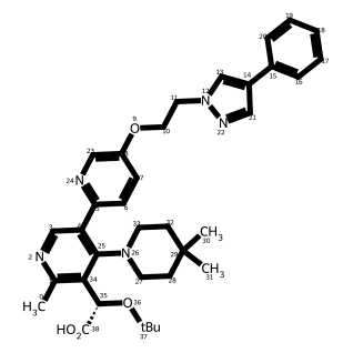 Cc1ncc(-c2ccc(OCCn3cc(-c4ccccc4)cn3)cn2)c(N2CCC(C)(C)CC2)c1[C@H](OC(C)(C)C)C(=O)O